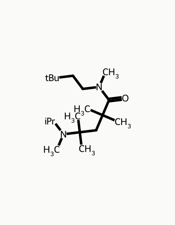 CC(C)N(C)C(C)(C)CC(C)(C)C(=O)N(C)CCC(C)(C)C